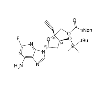 C#C[C@]1(COC(=O)CCCCCCCCC)O[C@@H](n2cnc3c(N)nc(F)nc32)C[C@@H]1O[Si](C)(C)C(C)(C)C